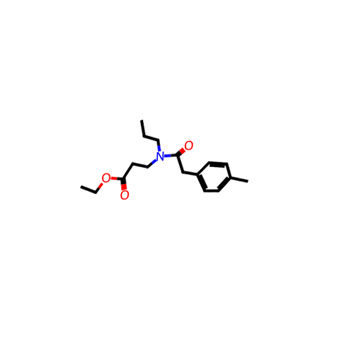 CCCN(CCC(=O)OCC)C(=O)Cc1ccc(C)cc1